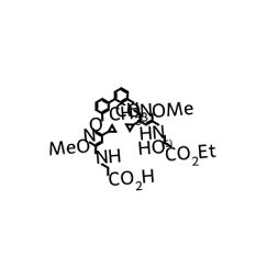 CCOC(=O)C[C@H](O)CNCc1cc(C2CC2)c(OCc2cccc(-c3cccc(COc4nc(OC)c(CNCCCC(=O)O)cc4C4CC4)c3C)c2C)nc1OC